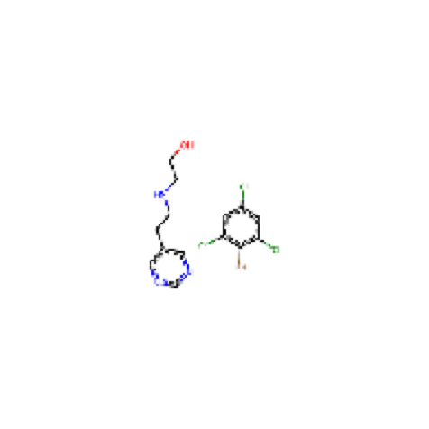 OCCNCCc1cncnc1.Sc1c(Cl)cc(Cl)cc1Cl